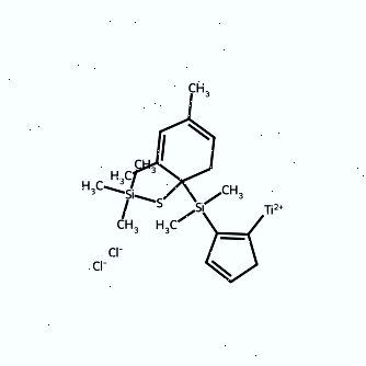 CC1=CCC(S[Si](C)(C)C)([Si](C)(C)C2=[C]([Ti+2])CC=C2)C(C)=C1.[Cl-].[Cl-]